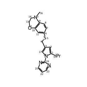 CC(C)c1cc(CSc2ccc3c(c2)OCCN3C)cn1-c1ncccn1